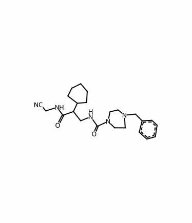 N#CCNC(=O)C(CNC(=O)N1CCN(Cc2ccccc2)CC1)C1CCCCC1